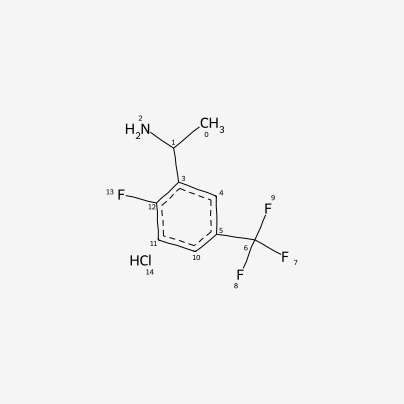 CC(N)c1cc(C(F)(F)F)ccc1F.Cl